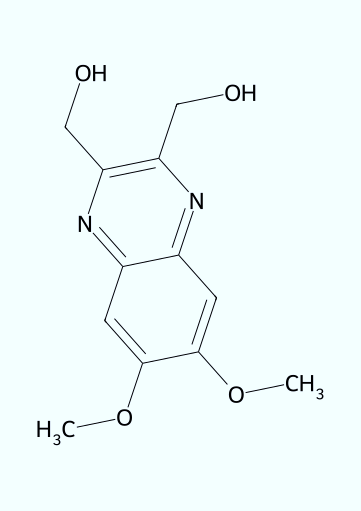 COc1cc2nc(CO)c(CO)nc2cc1OC